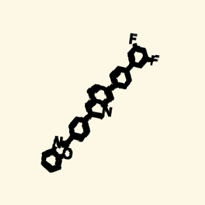 Fc1cc(F)cc(-c2ccc(-c3ccc4cc(-c5ccc(-c6nc7ccccc7o6)cc5)cnc4c3)cc2)c1